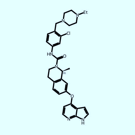 CCN1CCN(Cc2ccc(NC(=O)N3CCc4ccc(Oc5ccnc6[nH]ccc56)cc4[C@@H]3C)cc2Cl)CC1